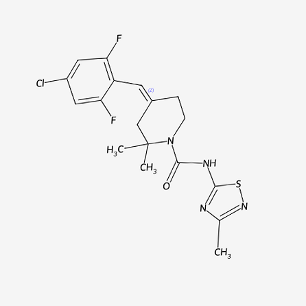 Cc1nsc(NC(=O)N2CC/C(=C/c3c(F)cc(Cl)cc3F)CC2(C)C)n1